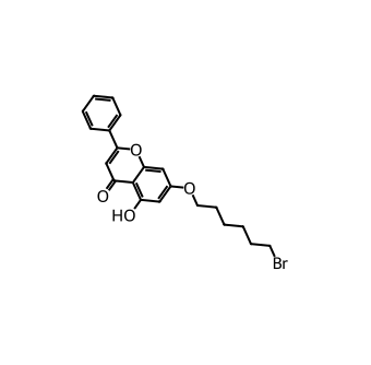 O=c1cc(-c2ccccc2)oc2cc(OCCCCCCBr)cc(O)c12